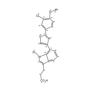 CCn1cc(CCC(=O)O)c2cccc(-c3noc(-c4ccc(OC(C)C)c(Cl)c4)n3)c21